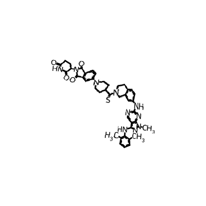 Cc1cccc(C)c1Nc1nn(C)c2nc(Nc3ccc4c(c3)CN(C(=S)C3CCN(c5ccc6c(c5)C(=O)N(C5CCC(=O)NC5=O)C6=O)CC3)CC4)ncc12